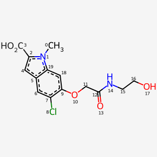 Cn1c(C(=O)O)cc2cc(Cl)c(OCC(=O)NCCO)cc21